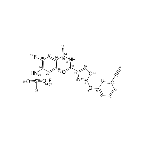 C#Cc1cccc(Oc2nc(C(=O)N[C@H](C)c3cc(F)c(NS(C)(=O)=O)c(F)c3)co2)c1